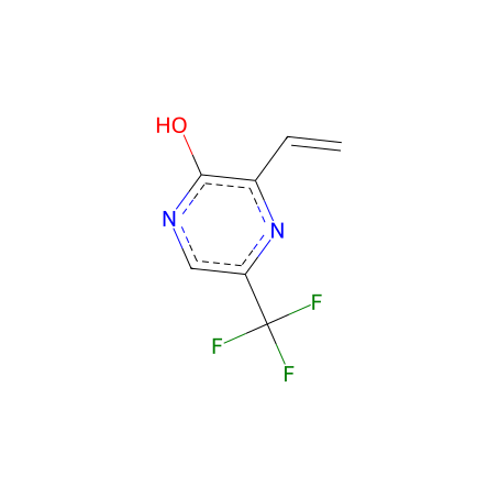 C=Cc1nc(C(F)(F)F)cnc1O